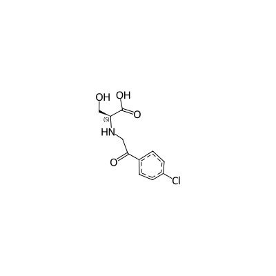 O=C(CN[C@@H](CO)C(=O)O)c1ccc(Cl)cc1